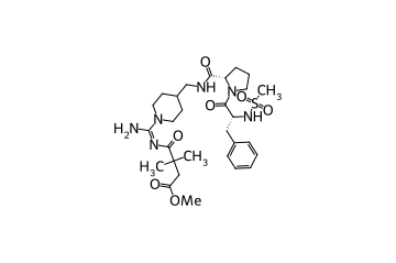 COC(=O)CC(C)(C)C(=O)/N=C(/N)N1CCC(CNC(=O)[C@@H]2CCCN2C(=O)[C@@H](Cc2ccccc2)NS(C)(=O)=O)CC1